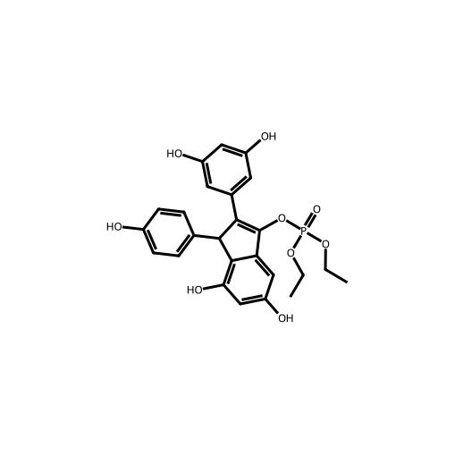 CCOP(=O)(OCC)OC1=C(c2cc(O)cc(O)c2)C(c2ccc(O)cc2)c2c(O)cc(O)cc21